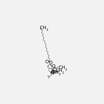 C=C(CC)[C@@H]1OC2=C(OC(=O)CCCCCCCCCCCCCCCCCCC)C=CC3CC4N(CC5CC5)CC[C@@]1(C23)[C@]4(C)O